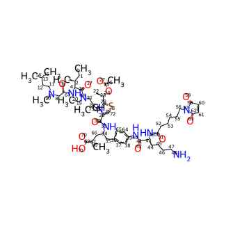 CC[C@H](C)[C@H](NC(=O)CN(C)CCC(C)C)C(=O)N(CC)[C@H](C[C@@H](OC(C)=O)c1nc(C(=O)N[C@@H](Cc2ccc(NC(=O)[C@H](CCCCN)NC(=O)CCCCCN3C(=O)C=CC3=O)cc2)C[C@H](C)C(=O)O)cs1)C(C)C